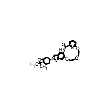 CC(C)(C)[C@H]1CC[C@H](n2cc3cc4c(cc3n2)OCCOCCOc2cccc(n2)C(=O)N4)CC1